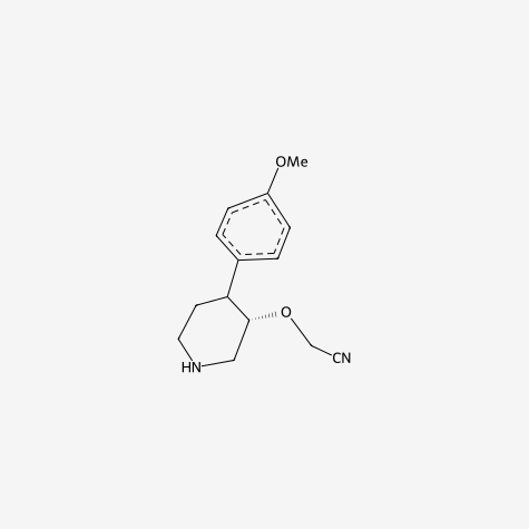 COc1ccc(C2CCNC[C@H]2OCC#N)cc1